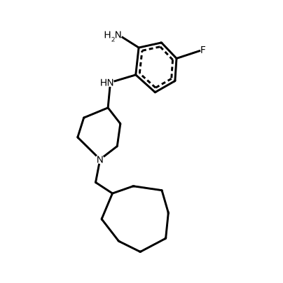 Nc1cc(F)ccc1NC1CCN(CC2CCCCCCC2)CC1